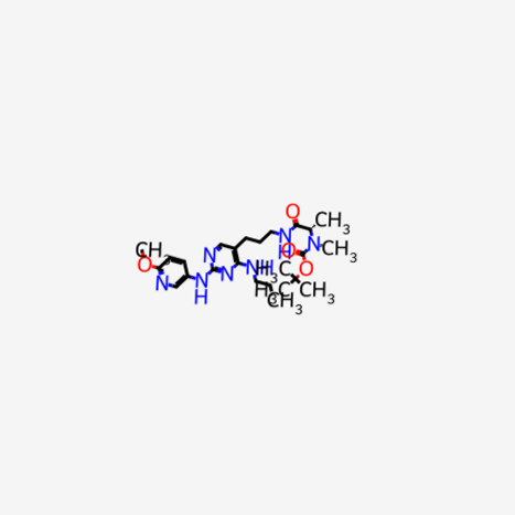 CCCNc1nc(Nc2ccc(OC)nc2)ncc1CCCNC(=O)[C@H](C)N(C)C(=O)OC(C)(C)C